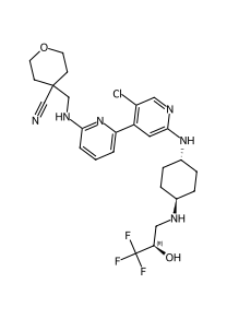 N#CC1(CNc2cccc(-c3cc(N[C@H]4CC[C@H](NC[C@@H](O)C(F)(F)F)CC4)ncc3Cl)n2)CCOCC1